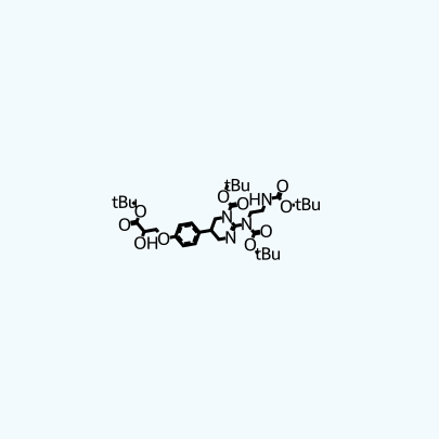 CC(C)(C)OC(=O)NCCN(C(=O)OC(C)(C)C)C1=NCC(c2ccc(OCC(O)C(=O)OC(C)(C)C)cc2)CN1C(=O)OC(C)(C)C